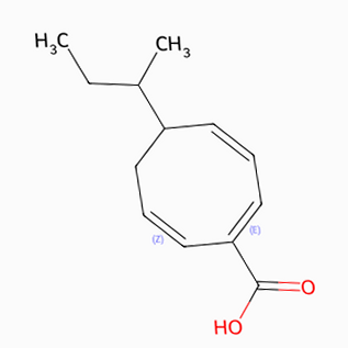 CCC(C)C1C=C/C=C(C(=O)O)\C=C/C1